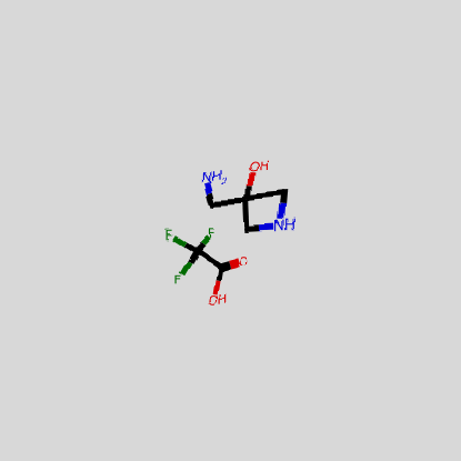 NCC1(O)CNC1.O=C(O)C(F)(F)F